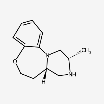 C[C@H]1CN2c3ccccc3OCC[C@H]2CN1